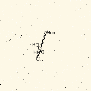 CCCCCCCCCCCCCCCCOC(=O)NCCO.Cl